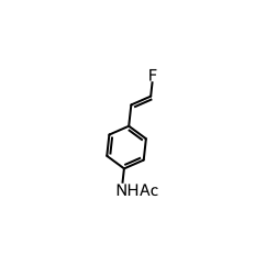 CC(=O)Nc1ccc(C=CF)cc1